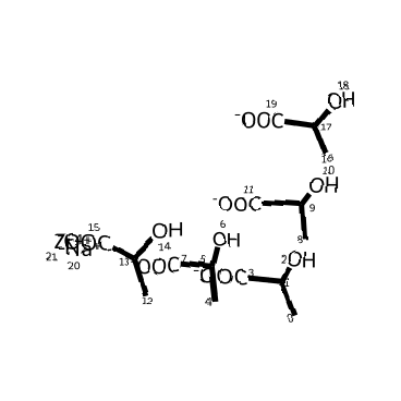 CC(O)C(=O)[O-].CC(O)C(=O)[O-].CC(O)C(=O)[O-].CC(O)C(=O)[O-].CC(O)C(=O)[O-].[Na+].[Zr+4]